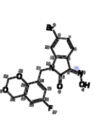 O=C1/C(=N\O)c2ccc(Br)cc2N1Cc1cc(F)cc2c1OCOC2